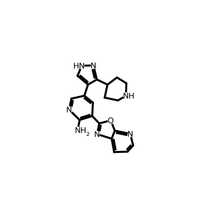 Nc1ncc(-c2c[nH]nc2C2CCNCC2)cc1-c1nc2cccnc2o1